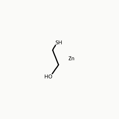 OCCS.[Zn]